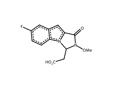 CON1C(=O)c2cc3cc(F)ccc3n2C1CC(=O)O